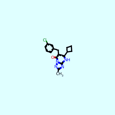 Cc1nc2[nH]c(C3CCC3)c(Cc3cccc(Cl)c3)c(=O)n2n1